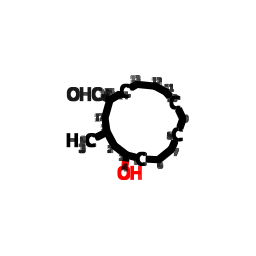 CC1CC(O)CCCCCCCCCCC(C=O)C1